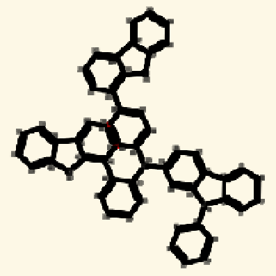 c1ccc(-n2c3ccccc3c3ccc(N(c4ccc(-c5cccc6c5oc5ccccc56)cc4)c4ccccc4-c4cccc5c4oc4ccccc45)cc32)cc1